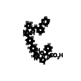 CN(C(=O)O)[C@@H](C(=O)N1CCC[C@H]1c1ncc(-c2ccc(-c3ccc(-c4cnc([C@@H]5CCCN5C(=O)Cc5ccccc5CN5CCCCC5)[nH]4)cc3)cc2)[nH]1)c1ccccc1